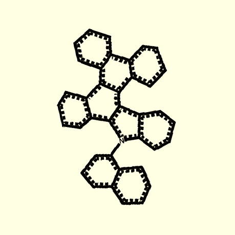 c1ccc2c(-n3c4ccccc4c4c5c6ccccc6c6ccccc6c5c5ccccc5c43)cccc2c1